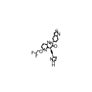 Cn1cc2cc(-n3nc4ccc(OCC(F)F)nc4c(C#Cc4cc[nH]n4)c3=O)ccc2n1